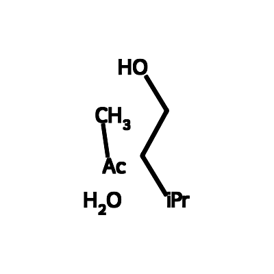 CC(C)=O.CC(C)CCO.O